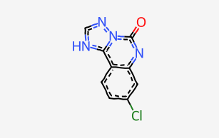 O=c1nc2cc(Cl)ccc2c2[nH]cnn12